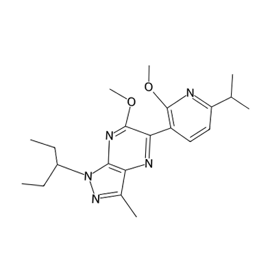 CCC(CC)n1nc(C)c2nc(-c3ccc(C(C)C)nc3OC)c(OC)nc21